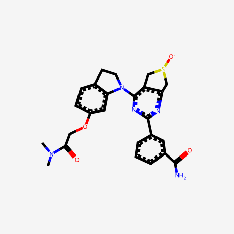 CN(C)C(=O)COc1ccc2c(c1)N(c1nc(-c3cccc(C(N)=O)c3)nc3c1C[S+]([O-])C3)CC2